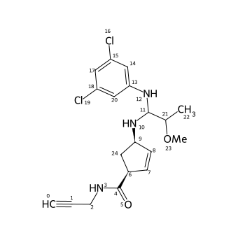 C#CCNC(=O)[C@@H]1C=C[C@H](NC(Nc2cc(Cl)cc(Cl)c2)C(C)OC)C1